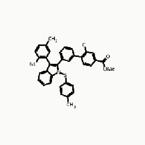 COC(=O)c1ccc(-c2cccc(-c3c(-c4cc(C)ccc4C#N)c4ccccc4n3Sc3ccc(C)cc3)c2)c(Cl)c1